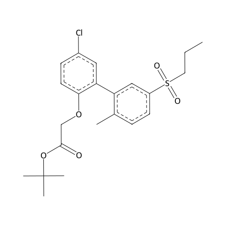 CCCS(=O)(=O)c1ccc(C)c(-c2cc(Cl)ccc2OCC(=O)OC(C)(C)C)c1